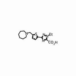 CCn1nc(-c2ccc(CN3CCCCCC3)s2)nc1C(=O)O